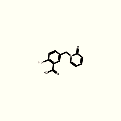 Nc1ccc(Cn2ccccc2=O)cc1C(=O)O